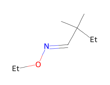 CCO/N=C/C(C)(C)CC